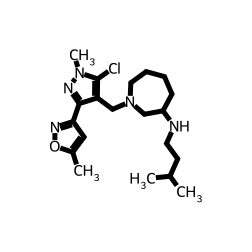 Cc1cc(-c2nn(C)c(Cl)c2CN2CCCCC(NCCC(C)C)C2)no1